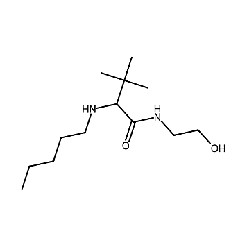 CCCCCNC(C(=O)NCCO)C(C)(C)C